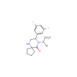 CCC(C(=O)O)N1C(=O)C2(CCCC2)NCC1c1cc(F)cc(F)c1